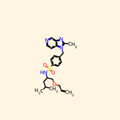 C=CCOCC(CC(C)C)NS(=O)(=O)c1ccc(Cn2c(C)nc3cnccc32)cc1